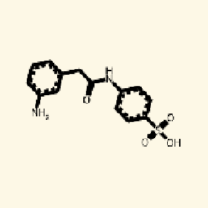 Nc1cccc(CC(=O)Nc2ccc(S(=O)(=O)O)cc2)c1